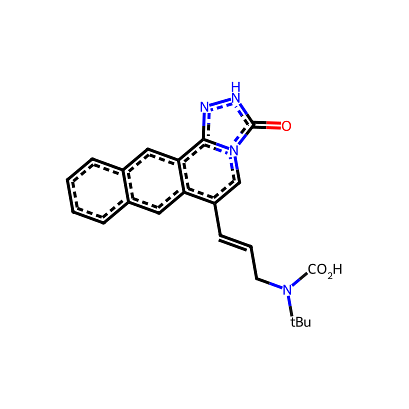 CC(C)(C)N(CC=Cc1cn2c(=O)[nH]nc2c2cc3ccccc3cc12)C(=O)O